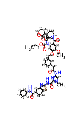 C=CCOC(=O)N1c2cc(OCc3cccc(CC(=O)Nc4cn(C)c(C(=O)Nc5nc6cc(C(=O)Nc7ccccc7)ccc6s5)n4)c3)c(OC)cc2C(=O)N2CCCC[C@H]2C1OC1CCCCO1